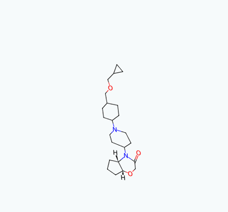 O=C1CO[C@@H]2CCC[C@@H]2N1C1CCN(C2CCC(COCC3CC3)CC2)CC1